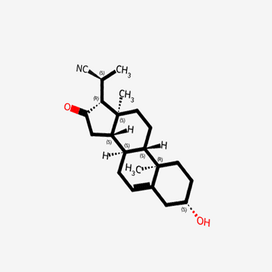 C[C@H](C#N)[C@H]1C(=O)C[C@H]2[C@@H]3CC=C4C[C@@H](O)CC[C@]4(C)[C@H]3CC[C@]12C